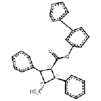 O=C(O)[C@@H]1C(c2ccccc2)[C@@H](C(=O)Oc2cccc(-c3ccccc3)c2)[C@H]1c1ccccc1